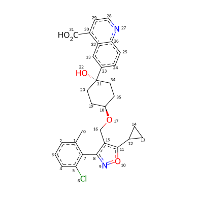 Cc1cccc(Cl)c1-c1noc(C2CC2)c1CO[C@H]1CC[C@@](O)(c2ccc3nccc(C(=O)O)c3c2)CC1